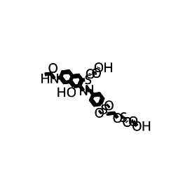 CC(=O)Nc1ccc2cc(SOOO)c(/N=N/c3ccc(S(=O)(=O)CCOSOOO)cc3)c(O)c2c1